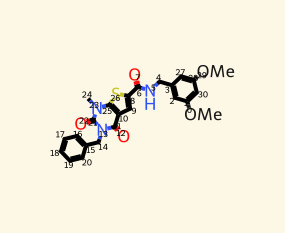 COc1cc(CNC(=O)c2cc3c(=O)n(Cc4ccccc4)c(=O)n(C)c3s2)cc(OC)c1